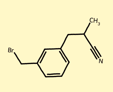 CC(C#N)Cc1cccc(CBr)c1